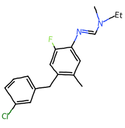 CCN(C)C=Nc1cc(C)c(Cc2cccc(Cl)c2)cc1F